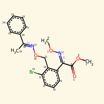 CO/N=C(/C(=O)OC)c1cccc(Br)c1CO/N=C(\C)c1ccccc1